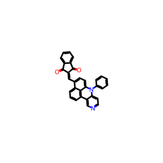 O=C1C(=Cc2ccc3c4c(cccc24)-c2cnccc2N3c2ccccc2)C(=O)c2ccccc21